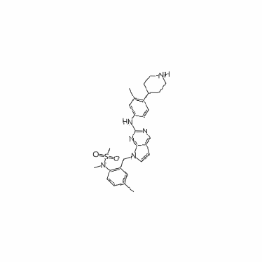 Cc1ccc(N(C)S(C)(=O)=O)c(Cn2ccc3cnc(Nc4ccc(C5CCNCC5)c(C)c4)nc32)c1